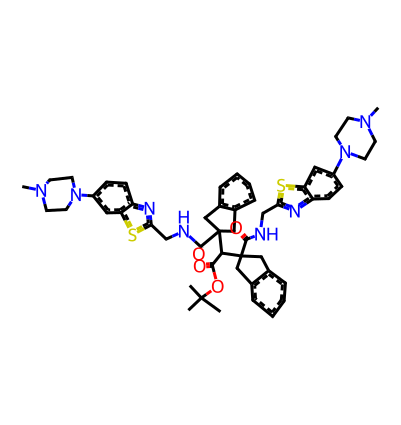 CN1CCN(c2ccc3nc(CNC(=O)C4(C(C(=O)OC(C)(C)C)C5(C(=O)NCc6nc7ccc(N8CCN(C)CC8)cc7s6)Cc6ccccc6C5)Cc5ccccc5C4)sc3c2)CC1